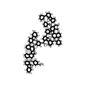 CC(C)c1ccc(N(c2cc3oc4cc(N(c5ccc(C(C)c6ccc(-c7ccccc7)c7oc8c(N(c9ccccc9)c9cc%10oc%11cc(N(c%12ccccc%12)c%12cccc%13c%12oc%12c(-c%14ccccc%14)cccc%12%13)c%12ccccc%12c%11c%10c%10ccccc9%10)cccc8c67)cc5)c5cccc6c5oc5ccccc56)c5ccccc5c4c3c3ccccc23)c2cccc3c2oc2ccccc23)cc1